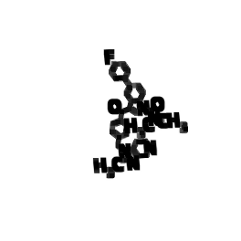 Cc1nc2cnccc2n1Cc1ccc(C(=O)c2cn(C(=O)N(C)C)c3ccc(-c4ccc(F)cc4)cc23)cc1